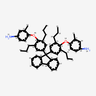 CCCc1cc(C2(c3cc(CCC)c(Oc4ccc(N)cc4C)c(CCC)c3)c3ccccc3-c3ccccc32)cc(CCC)c1Oc1ccc(N)cc1C